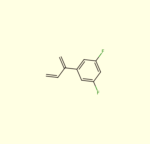 C=CC(=C)c1cc(F)cc(F)c1